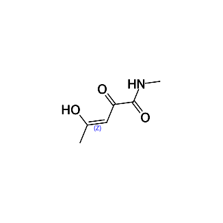 CNC(=O)C(=O)/C=C(/C)O